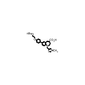 CCCCOCCOc1ccc(-c2ccc3c(c2)C=C(C(=O)O)CCN3CC2=CN(C)CS2)cc1